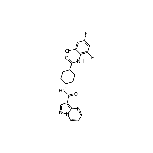 O=C(N[C@H]1CC[C@H](C(=O)Nc2c(F)cc(F)cc2Cl)CC1)c1cnn2cccnc12